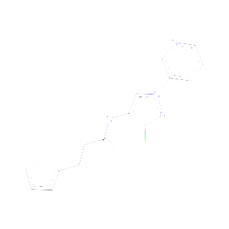 CN(C(=O)CCc1ccco1)c1cn(-c2cccnc2)nc1Cl